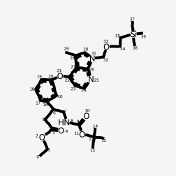 CCOC(=O)CC(CNC(=O)OC(C)(C)C)c1cccc(Oc2ccnc3c2c(C)cn3COCC[Si](C)(C)C)c1